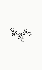 O=C(SCC1CC(CSC(=O)c2ccccc2)N(Cc2ccccc2)C1=O)c1ccccc1